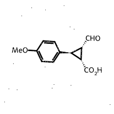 COc1ccc([C@H]2[C@H](C=O)[C@@H]2C(=O)O)cc1